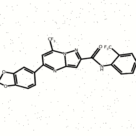 O=C(Nc1ccccc1C(F)(F)F)c1cc2nc(-c3ccc4c(c3)OCO4)cc(C(F)(F)F)n2n1